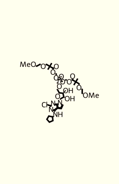 COCCOCC(C)(C)C(=O)OCOP(=O)(COCC1O[C@@H](n2ccc3c(NC4CCCC4)nc(Cl)nc32)[C@H](O)[C@@H]1O)OCOC(=O)C(C)(C)COCCOC